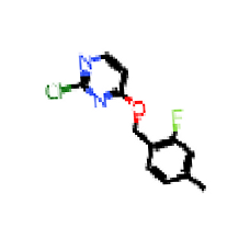 Cc1ccc(COc2ccnc(Cl)n2)c(F)c1